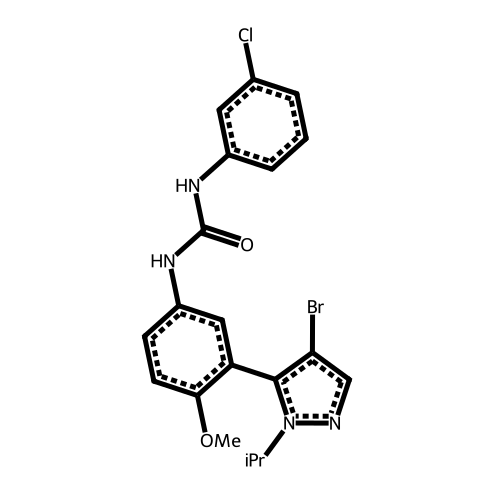 COc1ccc(NC(=O)Nc2cccc(Cl)c2)cc1-c1c(Br)cnn1C(C)C